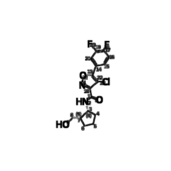 O=C(N[C@@H]1CCC[C@@H]1CO)c1noc(-c2ccc(F)c(F)c2)c1Cl